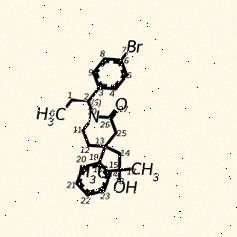 CC[C@@H](c1ccc(Br)cc1)N1CCC(CC(C)(C)O)(c2ccccc2)CC1=O